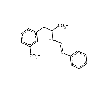 O=C(O)c1cccc(CC(NN=Nc2ccccc2)C(=O)O)c1